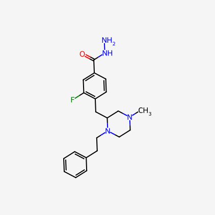 CN1CCN(CCc2ccccc2)C(Cc2ccc(C(=O)NN)cc2F)C1